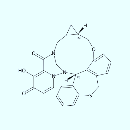 O=C1c2c(O)c(=O)ccn2N2CN1CC1C[C@@H]1COc1cccc3c1[C@@H]2c1ccccc1SC3